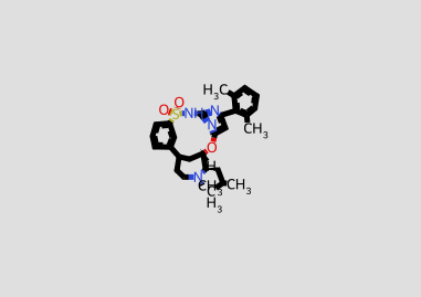 Cc1cccc(C)c1-c1cc2nc(n1)NS(=O)(=O)c1cccc(c1)C1CCN(C)[C@H](CC(C)C)[C@H](C1)O2